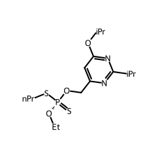 CCCS[P@@](=S)(OCC)OCc1cc(OC(C)C)nc(C(C)C)n1